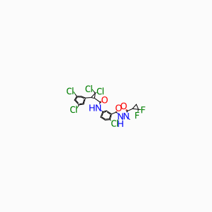 CN(NC(=O)c1cc(NC(=O)C2C(c3cc(Cl)cc(Cl)c3)C2(Cl)Cl)ccc1Cl)C(=O)C1CC1(F)F